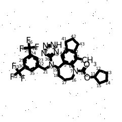 Cc1c2c(cc3c1N(C(=O)OC1CCCC1)CCCC3N(Cc1cc(C(F)(F)F)cc(C(F)(F)F)c1)c1nn[nH]n1)CCC2